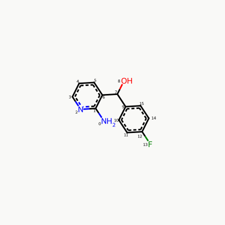 Nc1ncccc1C(O)c1ccc(F)cc1